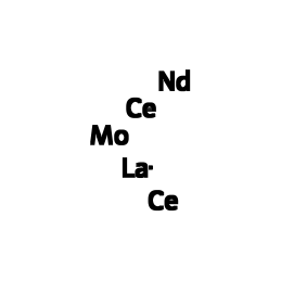 [Ce].[Ce].[La].[Mo].[Nd]